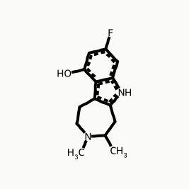 CC1Cc2[nH]c3cc(F)cc(O)c3c2CCN1C